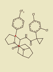 O=C(C(Cc1ccc(C(F)(F)F)cc1)NC(=O)C1(c2ccc(Cl)cc2Cl)CC1)N1C2CCC1CC(N1CCCC1)C2